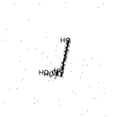 C=C(C)C(=O)O.C=C(C)C(=O)O.OCCCCCCCCCCCCCCCO